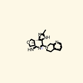 Cc1nc([C@@H]2CCOC2)c(/C(=N\C=N)N2CCc3cccnc3C2)[nH]1